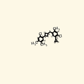 Cc1cc(Cl)c(C2CC(Cc3cc(C4CC4)c(Cl)cc3C)C2)cc1C